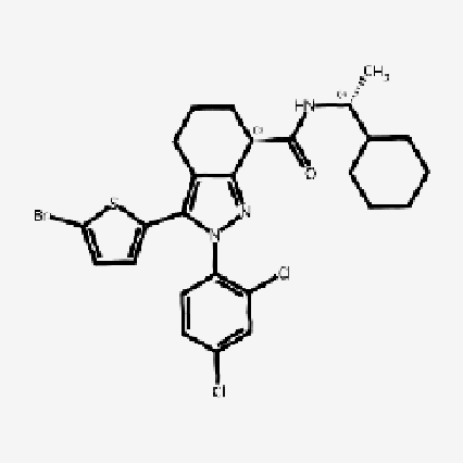 C[C@@H](NC(=O)[C@@H]1CCCc2c1nn(-c1ccc(Cl)cc1Cl)c2-c1ccc(Br)s1)C1CCCCC1